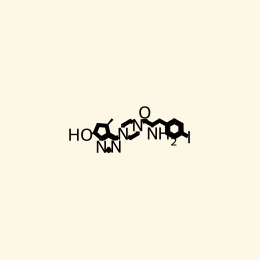 C[C@@H]1C[C@@H](O)c2ncnc(N3CCN(C(=O)[C@H](N)Cc4ccc(I)cc4)CC3)c21